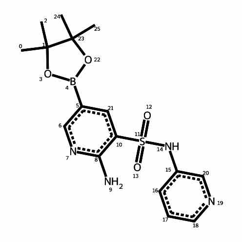 CC1(C)OB(c2cnc(N)c(S(=O)(=O)Nc3cccnc3)c2)OC1(C)C